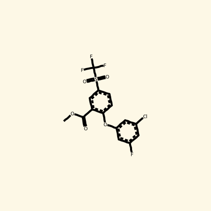 COC(=O)c1cc(S(=O)(=O)C(F)(F)F)ccc1Oc1cc(F)cc(Cl)c1